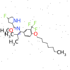 CCCCCCCCOc1ccc(C(/N=C(\OC)C2CC(F)CN2)=C(/C)CC)cc1C(F)(F)F